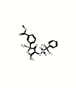 BC(B)(c1ccccc1)S(=O)(=O)OC1=C(N)O[C@](B)(c2cccc(C(=O)OC)c2)C1=O